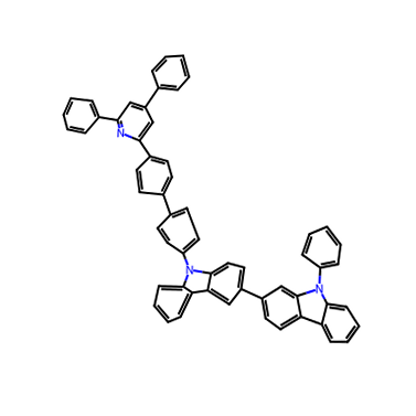 c1ccc(-c2cc(-c3ccccc3)nc(-c3ccc(-c4ccc(-n5c6ccccc6c6cc(-c7ccc8c9ccccc9n(-c9ccccc9)c8c7)ccc65)cc4)cc3)c2)cc1